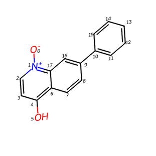 [O-][n+]1ccc(O)c2ccc(-c3ccccc3)cc21